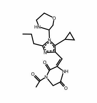 CCCc1nc(C=C2NC(=O)CN(C(C)=O)C2=O)c(C2CC2)n1C1COCCN1